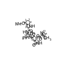 COc1cccc2[nH]c(C(=O)N[C@@H](CC(C)C)C(=O)N[C@@H](C[C@@H]3CCNC3=O)C(=O)COC(=O)c3nccn3C)cc12